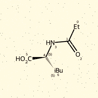 CCC(=O)N[C@H](C(=O)O)[C@@H](C)CC